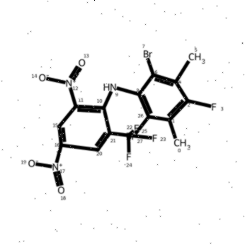 Cc1c(F)c(C)c(Br)c(Nc2c([N+](=O)[O-])cc([N+](=O)[O-])cc2C(F)(F)F)c1Br